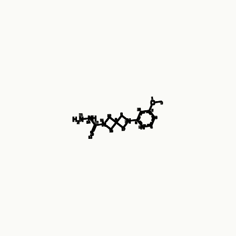 COc1ccnc(N2CC3(CN(C(=S)NN)C3)C2)c1